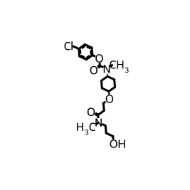 CN(CCCO)C(=O)CCO[C@H]1CC[C@H](N(C)C(=O)Oc2ccc(Cl)cc2)CC1